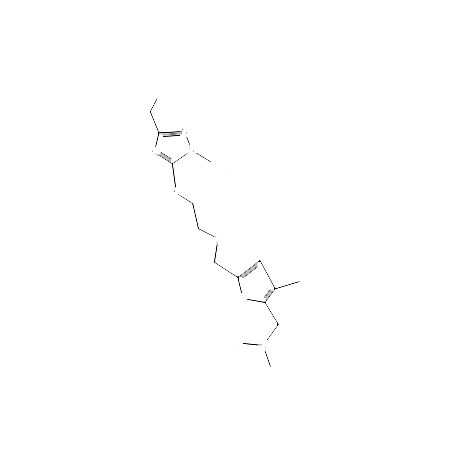 Cc1cc(CSCCNc2nc(CO)nn2C)sc1CN(C)C